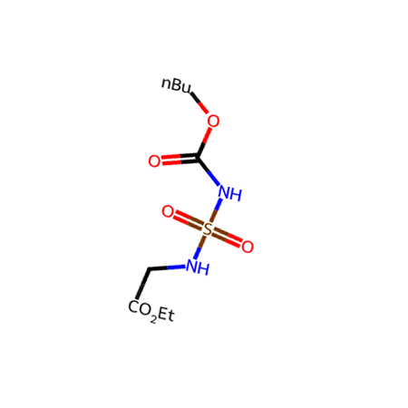 CCCCOC(=O)NS(=O)(=O)NCC(=O)OCC